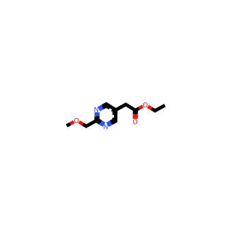 CCOC(=O)Cc1cnc(COC)nc1